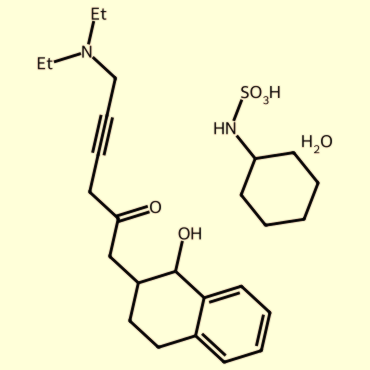 CCN(CC)CC#CCC(=O)CC1CCc2ccccc2C1O.O.O=S(=O)(O)NC1CCCCC1